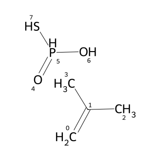 C=C(C)C.O=[PH](O)S